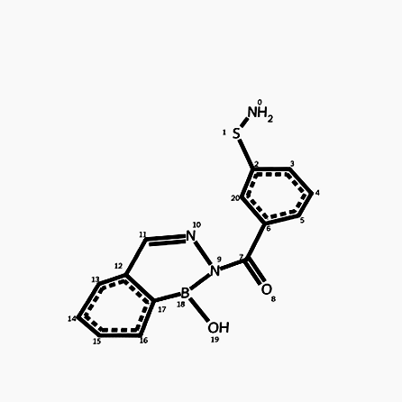 NSc1cccc(C(=O)N2N=Cc3ccccc3B2O)c1